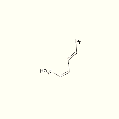 CC(C)/C=C/C=C\C(=O)O